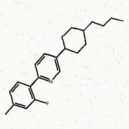 CCCCC1CCC(c2ccc(-c3ccc(C)cc3F)nc2)CC1